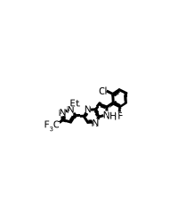 CCn1nc(C(F)(F)F)cc1-c1cnc2[nH]c(-c3c(F)cccc3Cl)cc2n1